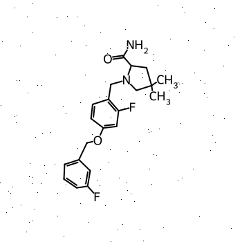 CC1(C)CC(C(N)=O)N(Cc2ccc(OCc3cccc(F)c3)cc2F)C1